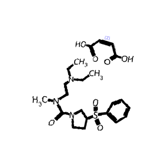 CCN(CC)CCN(C)C(=O)N1CCC(S(=O)(=O)c2ccccc2)C1.O=C(O)/C=C\C(=O)O